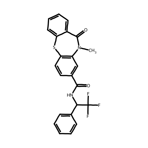 CN1C(=O)c2ccccc2Sc2ccc(C(=O)NC(c3ccccc3)C(F)(F)F)cc21